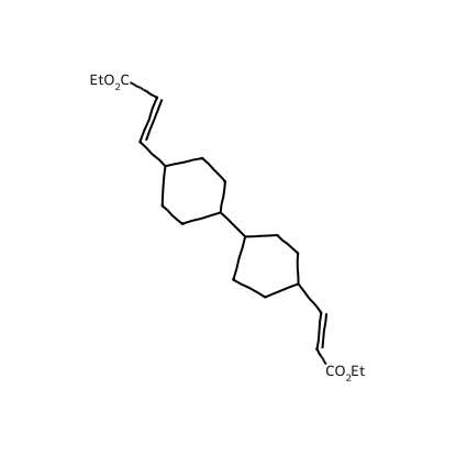 CCOC(=O)/C=C/C1CCC(C2CCC(/C=C/C(=O)OCC)CC2)CC1